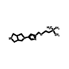 C[Si](C)(C)CCOCn1cc(N2CC3CNCC3C2)cn1